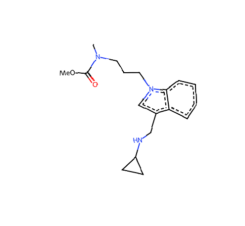 COC(=O)N(C)CCCn1cc(CNC2CC2)c2ccccc21